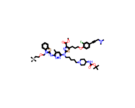 COC(=O)c1nc(N(CCCCCN2CCC(NC(=O)OC(C)(C)C)CC2)c2cc(C)c(/N=c3\sc4ccccc4n3COCC[Si](C)(C)C)nn2)sc1CCCOc1ccc(C#CCN(C)C)cc1F